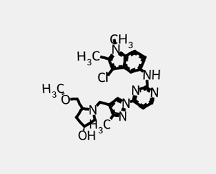 COCC1C[C@@H](O)CN1Cc1cn(-c2ccnc(Nc3ccc4c(c3)c(Cl)c(C)n4C)n2)nc1C